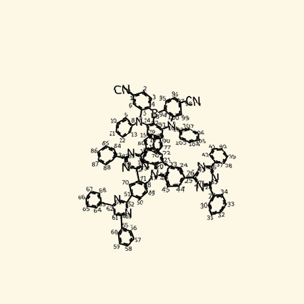 [C-]#[N+]c1ccc2c(c1)N(c1ccccc1)c1cc(-c3ccc4c(c3)c3cc(-c5nc(-c6ccccc6)nc(-c6ccccc6)n5)ccc3n4-c3ccc(-c4nc(-c5ccccc5)cc(-c5ccccc5)n4)cc3-c3nc(-c4ccccc4)nc(-c4ccccc4)n3)cc3c1B2c1ccc(C#N)cc1N3c1ccccc1